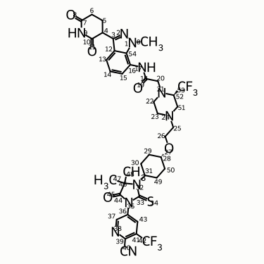 Cn1nc(C2CCC(=O)NC2=O)c2cccc(NC(=O)CN3CCN(CCO[C@H]4CC[C@H](N5C(=S)N(c6cnc(C#N)c(C(F)(F)F)c6)C(=O)C5(C)C)CC4)C[C@@H]3C(F)(F)F)c21